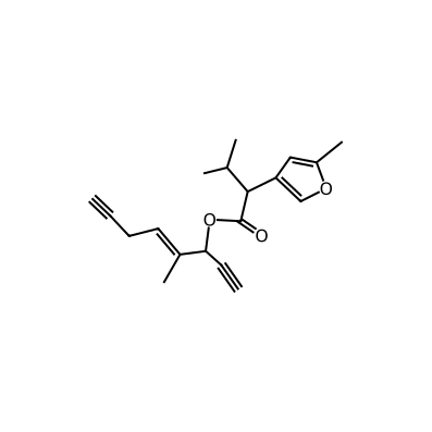 C#CCC=C(C)C(C#C)OC(=O)C(c1coc(C)c1)C(C)C